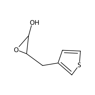 OC1OC1Cc1ccsc1